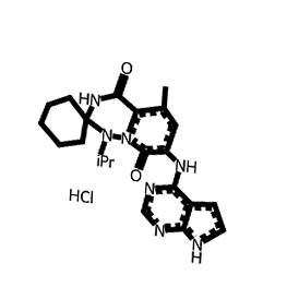 Cc1cc(Nc2ncnc3[nH]ccc23)c(=O)n2c1C(=O)NC1(CCCCC1)N2C(C)C.Cl